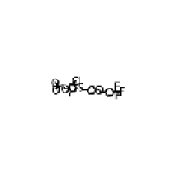 COC(=O)COc1cc(Cl)c(SCc2ccc(OCc3ccc(C(F)(F)F)cc3)cc2)cc1C